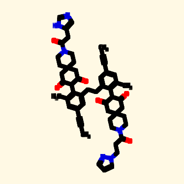 CC#Cc1cc(C)c(C2C(=O)CC3(CCN(C(=O)CCn4cccn4)CC3)CC2=O)c(CCc2cc(C#CC)cc(C)c2C2C(=O)CC3(CCN(C(=O)Cc4cnc[nH]4)CC3)CC2=O)c1